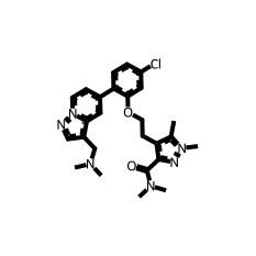 Cc1c(CCOc2cc(Cl)ccc2-c2ccn3ncc(CN(C)C)c3c2)c(C(=O)N(C)C)nn1C